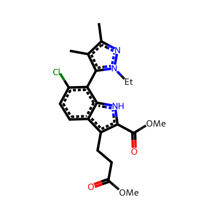 CCn1nc(C)c(C)c1-c1c(Cl)ccc2c(CCC(=O)OC)c(C(=O)OC)[nH]c12